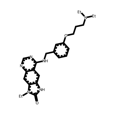 CCN(CC)CCCOc1cccc(CNc2ncnc3cc4c(cc23)[nH]c(=O)n4CC)c1